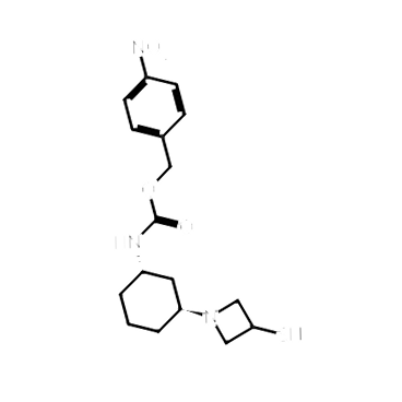 O=C(N[C@H]1CCC[C@H](N2CC(S)C2)C1)OCc1ccc([N+](=O)[O-])cc1